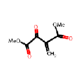 C=C(C(=O)OC)C(=O)C(=O)OC